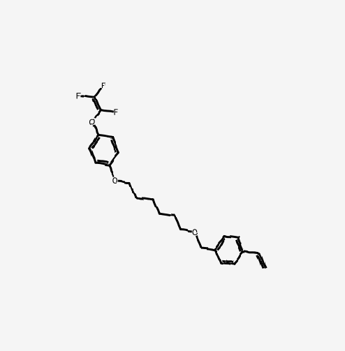 C=Cc1ccc(COCCCCCCOc2ccc(OC(F)=C(F)F)cc2)cc1